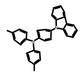 Cc1ccc(N(c2ccc(C)cc2)c2ccc(-n3c4ccccc4c4ccccc43)cc2)cc1